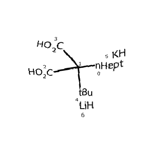 CCCCCCCC(C(=O)O)(C(=O)O)C(C)(C)C.[KH].[LiH]